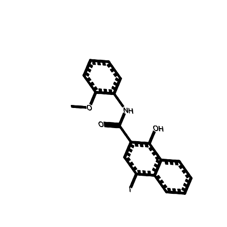 COc1ccccc1NC(=O)c1cc(I)c2ccccc2c1O